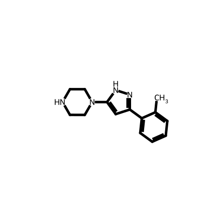 Cc1ccccc1-c1cc(N2CCNCC2)[nH]n1